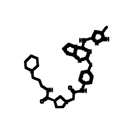 Cc1cc(Nc2nc(Sc3ccc(NC(=O)CN4CC[C@@H](C(=O)NCCCN5CCCCC5)C4)cc3)nc3cccn23)n[nH]1